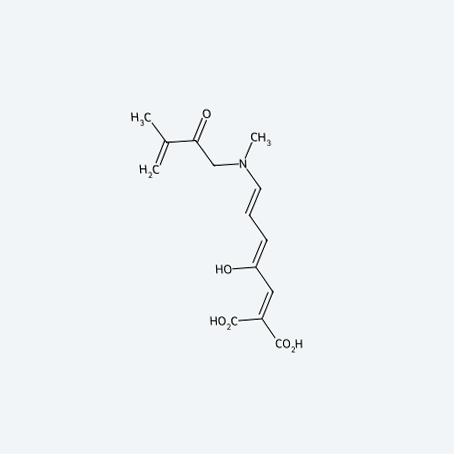 C=C(C)C(=O)CN(C)/C=C/C=C(\O)C=C(C(=O)O)C(=O)O